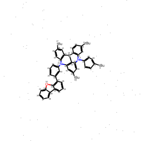 CC(C)(C)c1ccc(N2c3cc(C(C)(C)C)ccc3B3c4cc(C(C)(C)C)ccc4N(c4cccc(-c5cccc6c5oc5ccccc56)c4)c4cc(C(C)(C)C)cc2c43)cc1